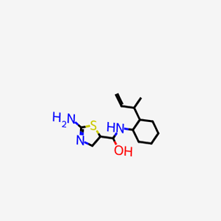 C=CC(C)C1CCCCC1NC(O)C1CN=C(N)S1